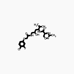 C=C(C)C(CC(O)CNC(=O)COc1ccc(Cl)c(F)c1)NC(=O)C1COSC(C)N1